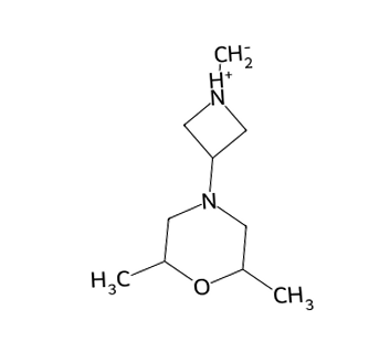 [CH2-][NH+]1CC(N2CC(C)OC(C)C2)C1